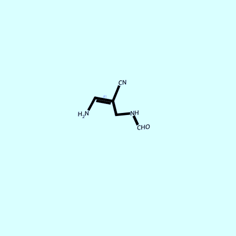 N#C/C(=C/N)CNC=O